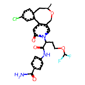 C[C@@H]1Cc2ccc(Cl)cc2-c2cc(=O)n(C(CCOC(F)F)C(=O)Nc3ccc(C(N)=O)cc3)cc2CO1